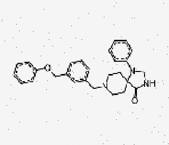 O=C1NCN(c2ccccc2)C12CCN(Cc1cccc(COc3ccccc3)c1)CC2